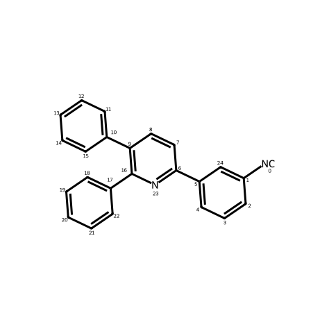 [C-]#[N+]c1cccc(-c2ccc(-c3ccccc3)c(-c3ccccc3)n2)c1